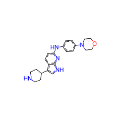 c1cc(N2CCOCC2)ccc1Nc1ccc2c(C3CCNCC3)c[nH]c2n1